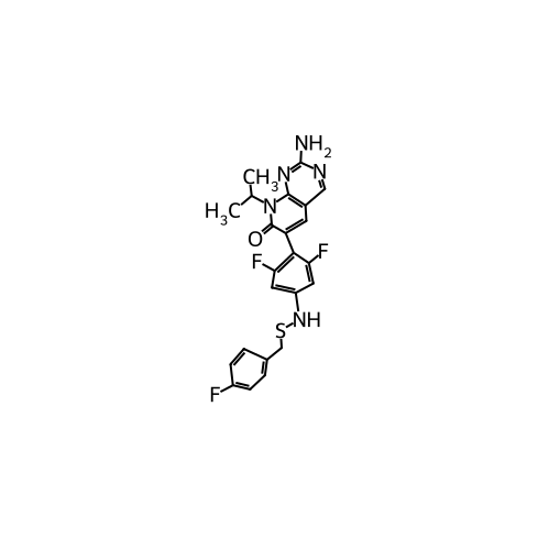 CC(C)n1c(=O)c(-c2c(F)cc(NSCc3ccc(F)cc3)cc2F)cc2cnc(N)nc21